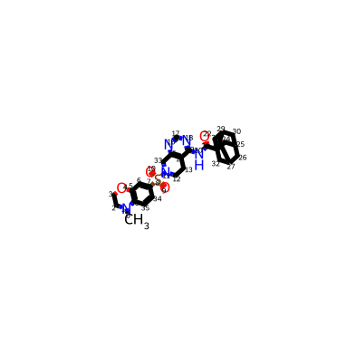 CN1CCOc2cc(S(=O)(=O)N3CCc4c(ncnc4NC(=O)C45CC6CC(CC(C6)C4)C5)C3)ccc21